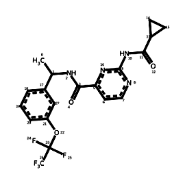 CC(NC(=O)c1ccnc(NC(=O)C2CC2)n1)c1cccc(OC(F)(F)C(F)(F)F)c1